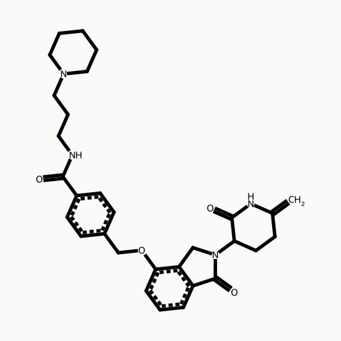 C=C1CCC(N2Cc3c(OCc4ccc(C(=O)NCCCN5CCCCC5)cc4)cccc3C2=O)C(=O)N1